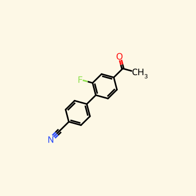 CC(=O)c1ccc(-c2ccc(C#N)cc2)c(F)c1